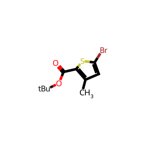 Cc1cc(Br)sc1C(=O)OC(C)(C)C